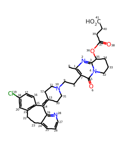 Cc1nc2n(c(=O)c1CCN1CCC(=C3c4ccc(Cl)cc4CCc4cccnc43)CC1)CCCC2OC(=O)CCC(=O)O